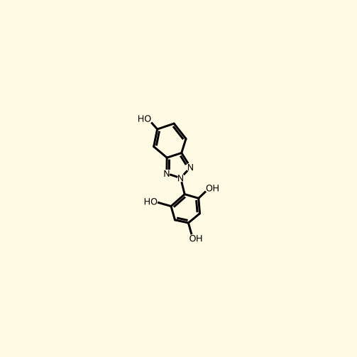 Oc1cc(O)c(-n2nc3ccc(O)cc3n2)c(O)c1